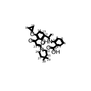 CC(Nc1ccccc1C(=O)O)c1ccc(OC2CC2)c2c(=O)cc(N3CCC(C)(C)CC3)oc12